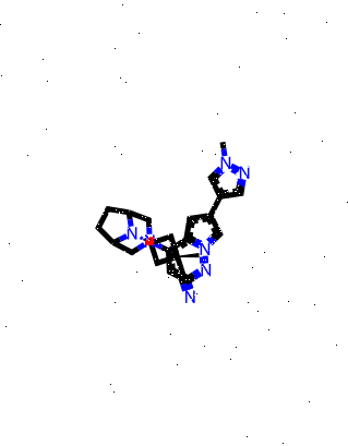 Cn1cc(-c2cc3c(N4CC5CCC(C4)N5[C@H]4C[C@@](C)(C#N)C4)ccnn3c2)cn1